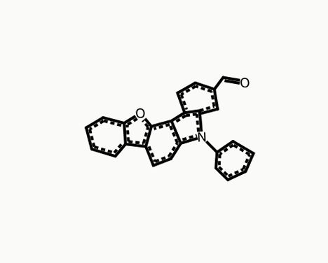 O=Cc1ccc2c3c4oc5ccccc5c4ccc3n(-c3ccccc3)c2c1